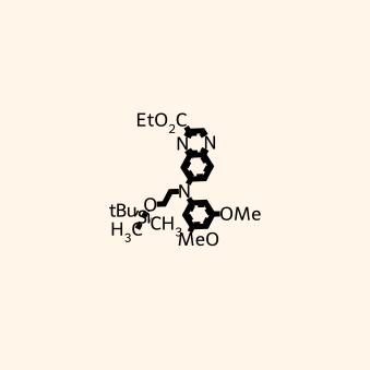 CCOC(=O)c1cnc2ccc(N(CCO[Si](C)(C)C(C)(C)C)c3cc(OC)cc(OC)c3)cc2n1